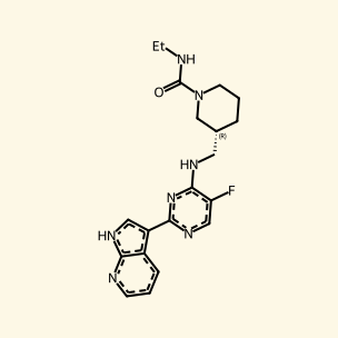 CCNC(=O)N1CCC[C@H](CNc2nc(-c3c[nH]c4ncccc34)ncc2F)C1